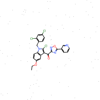 CCOc1ccc2c(c1)c(C(=O)c1noc(-c3cccnc3)n1)c(Cl)n2Cc1ccc(Cl)cc1Cl